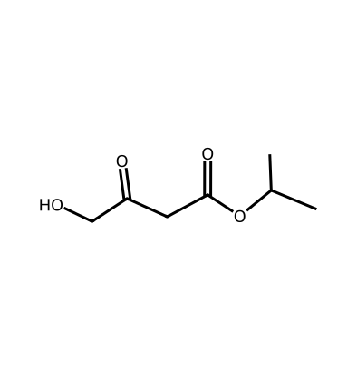 CC(C)OC(=O)CC(=O)CO